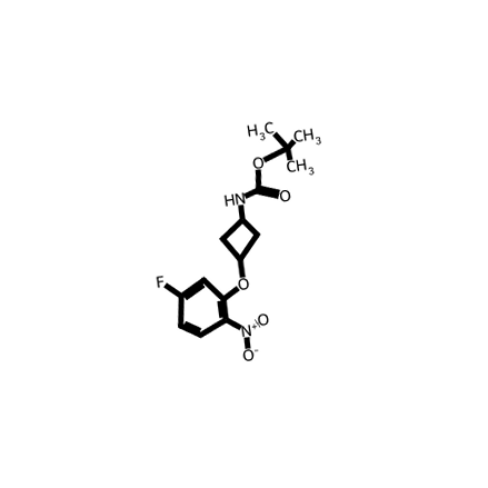 CC(C)(C)OC(=O)NC1CC(Oc2cc(F)ccc2[N+](=O)[O-])C1